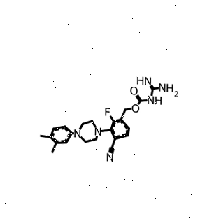 Cc1ccc(N2CCN(c3c(C#N)ccc(COC(=O)NC(=N)N)c3F)CC2)cc1C